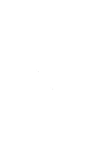 CCOc1ccccc1Nc1cc2c(cc1N)OCO2